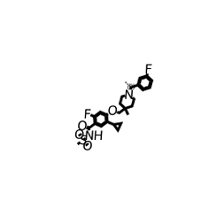 C[C@H](c1cccc(F)c1)N1CCC(C)(COc2cc(F)c(C(=O)NS(C)(=O)=O)cc2C2CC2)CC1